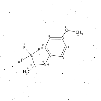 COc1ccc(N[C@H](C)C(F)(F)F)cc1